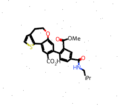 COC(=O)c1cc(C(=O)NCC(C)C)ccc1-c1cc2c(cc1C(=O)O)-c1sccc1CCO2